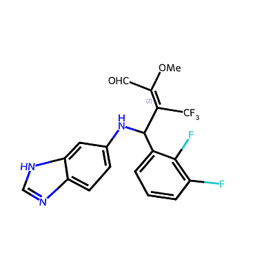 CO/C(C=O)=C(/C(Nc1ccc2nc[nH]c2c1)c1cccc(F)c1F)C(F)(F)F